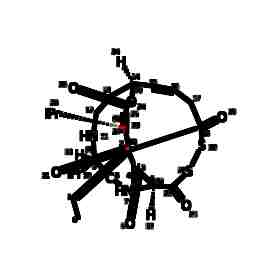 CC=C1NC(=O)[C@@H]2NC[C@@H](C(C)C)NCC[C@@H](C=CCC(=O)SSC2=O)OC(=O)[C@H](C(C)C)NC1=O